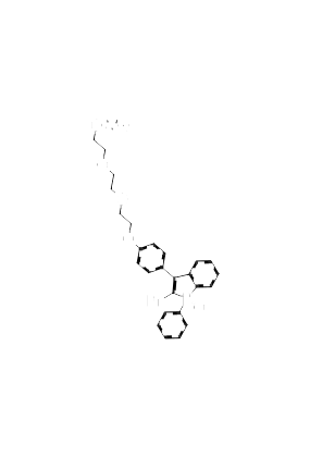 COCCOCCOCCOc1ccc(C2=C(Br)P(=O)(c3ccccc3)c3ccccc32)cc1